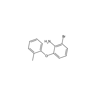 Cc1ccccc1Oc1cccc(Br)c1N